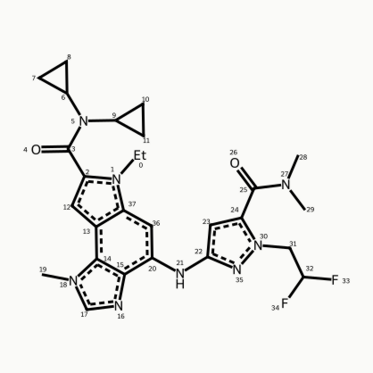 CCn1c(C(=O)N(C2CC2)C2CC2)cc2c3c(ncn3C)c(Nc3cc(C(=O)N(C)C)n(CC(F)F)n3)cc21